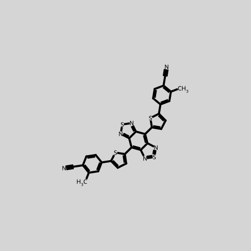 Cc1cc(-c2ccc(-c3c4c(c(-c5ccc(-c6ccc(C#N)c(C)c6)s5)c5nsnc35)N=S=N4)s2)ccc1C#N